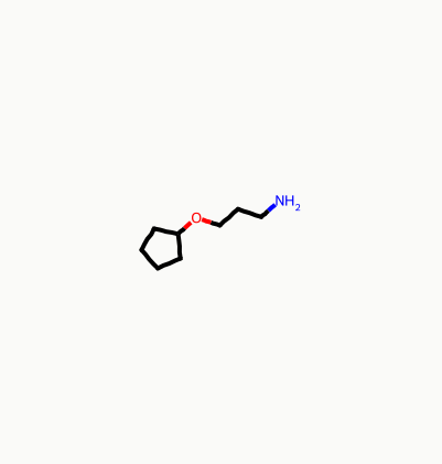 NCCCOC1CCCC1